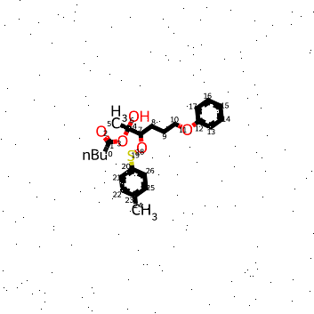 CCCCC(=O)OC(C)(O)C(CCCOc1ccccc1)OSc1ccc(C)cc1